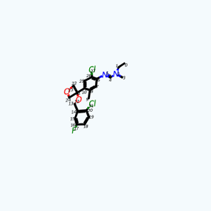 CCN(C)C=Nc1cc(C)c(C2(OCc3cc(F)ccc3Cl)COC2)cc1Cl